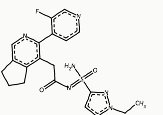 CCn1ccc(S(N)(=O)=NC(=O)Cc2c(-c3ccncc3F)ncc3c2CCC3)n1